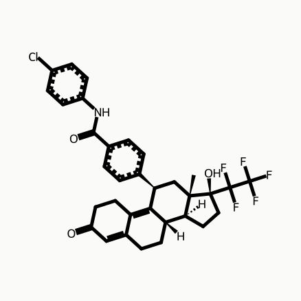 C[C@]12C[C@H](c3ccc(C(=O)Nc4ccc(Cl)cc4)cc3)C3=C4CCC(=O)C=C4CC[C@H]3[C@@H]1CC[C@@]2(O)C(F)(F)C(F)(F)F